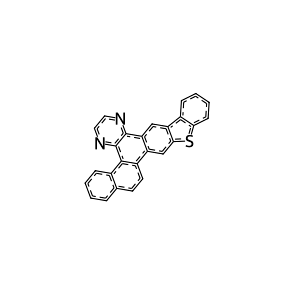 c1ccc2c(c1)ccc1c3cc4sc5ccccc5c4cc3c3nccnc3c21